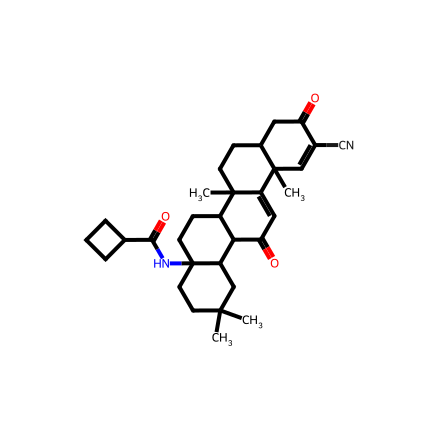 CC1(C)CCC2(NC(=O)C3CCC3)CCC3C(C(=O)C=C4C5(C)C=C(C#N)C(=O)CC5CCC43C)C2C1